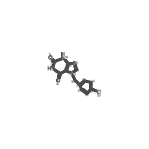 O=c1[nH]c(=O)c2c(ncn2Cc2ccc(Cl)cc2)[nH]1